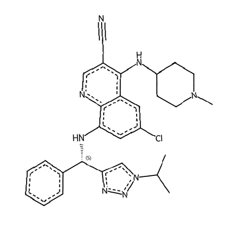 CC(C)n1cc([C@@H](Nc2cc(Cl)cc3c(NC4CCN(C)CC4)c(C#N)cnc23)c2ccccc2)nn1